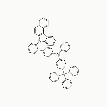 c1ccc(N(c2ccc(-c3ccccc3-n3c4ccccc4c4c5ccccc5ccc43)cc2)c2ccc(C(c3ccccc3)(c3ccccc3)c3ccccc3)cc2)cc1